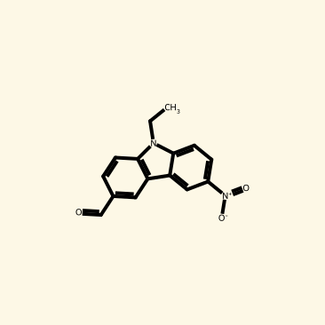 CCn1c2ccc(C=O)cc2c2cc([N+](=O)[O-])ccc21